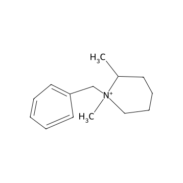 CC1CCCC[N+]1(C)Cc1ccccc1